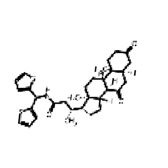 C[C@H](CC(=O)NC(c1cccs1)c1cccs1)[C@H]1CC[C@H]2[C@@H]3C(=O)C[C@@H]4CC(=O)CC[C@]4(C)[C@H]3CC[C@]12C